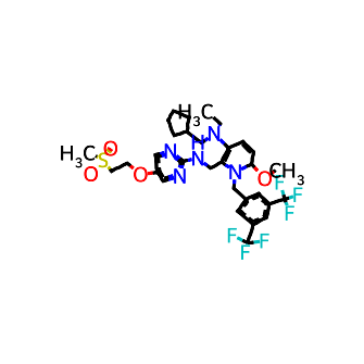 CCN(CC1CCCC1)C1=C(CNc2ncc(OCCS(C)(=O)=O)cn2)N(Cc2cc(C(F)(F)F)cc(C(F)(F)F)c2)C(OC)C=C1